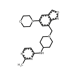 Cc1nccc(NC2CCN(Cc3cc(N4CCOCC4)cc4conc34)CC2)n1